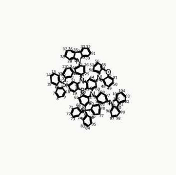 c1ccc([Si](c2ccccc2)(c2ccccc2)c2ccc3c(c2)N(c2ccc(-n4c5ccccc5c5ccccc54)cc2)c2cc(N4c5ccccc5Oc5ccccc54)cc4c2B3c2ccc([Si](c3ccccc3)(c3ccccc3)c3ccccc3)cc2N4c2ccc(-n3c4ccccc4c4ccccc43)cc2)cc1